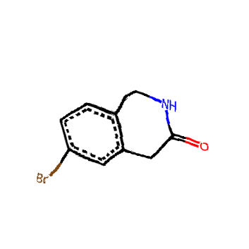 O=C1Cc2cc(Br)ccc2CN1